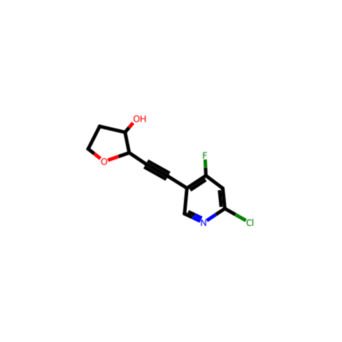 OC1CCOC1C#Cc1cnc(Cl)cc1F